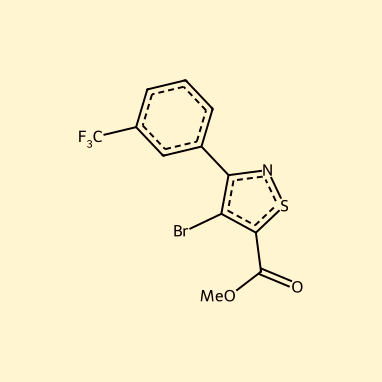 COC(=O)c1snc(-c2cccc(C(F)(F)F)c2)c1Br